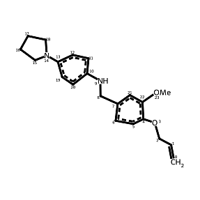 C=CCOc1ccc(CNc2ccc(N3CCCC3)cc2)cc1OC